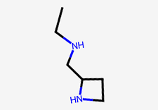 CCNCC1CCN1